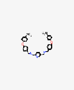 O=[N+]([O-])c1ccc(Oc2ccc(C=NCc3ccc(CN=Cc4ccc(Oc5ccc([N+](=O)[O-])cc5)cc4)nc3)cc2)cc1